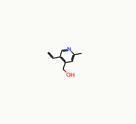 C=Cc1cnc(C)cc1CO